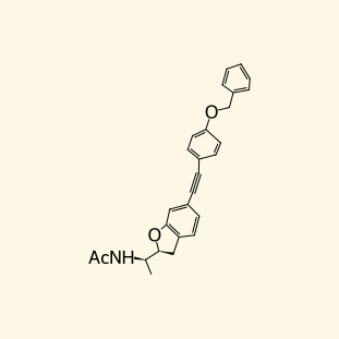 CC(=O)N[C@H](C)[C@@H]1Cc2ccc(C#Cc3ccc(OCc4ccccc4)cc3)cc2O1